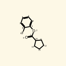 O=C(Oc1ccccc1F)C1CCCC1